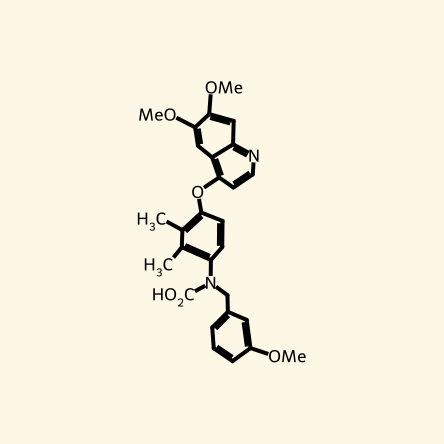 COc1cccc(CN(C(=O)O)c2ccc(Oc3ccnc4cc(OC)c(OC)cc34)c(C)c2C)c1